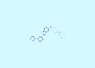 COc1ncccc1-c1ccc(O)c(-c2nc3cc(C(=O)N4CCN(C5CCS(=O)(=O)C5)CC4)ccc3[nH]2)c1